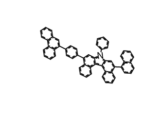 c1ccc(-n2c3cc(-c4ccc(-c5cc6ccccc6c6ccccc56)cc4)c4ccccc4c3c3c4ccccc4c(-c4cccc5ccccc45)cc32)cc1